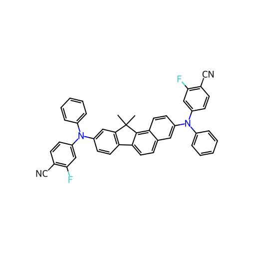 CC1(C)c2cc(N(c3ccccc3)c3ccc(C#N)c(F)c3)ccc2-c2ccc3cc(N(c4ccccc4)c4ccc(C#N)c(F)c4)ccc3c21